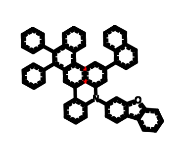 c1ccc(-c2c(-c3ccccc3)c3cc(-c4ccccc4N(c4cccc(-c5cccc6ccccc56)c4)c4ccc5c(c4)oc4ccccc45)ccc3c3ccccc23)cc1